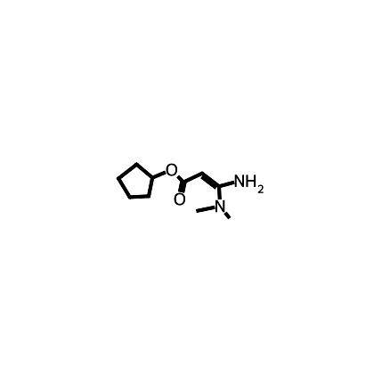 CN(C)C(N)=CC(=O)OC1CCCC1